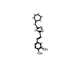 Oc1ccc(C=Cc2nc(CC3CCCCC3)no2)cc1O